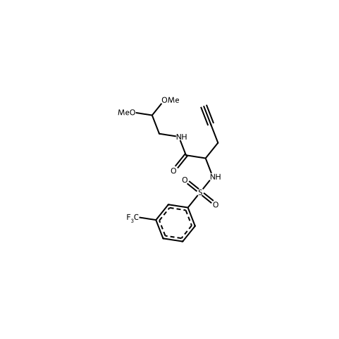 C#CCC(NS(=O)(=O)c1cccc(C(F)(F)F)c1)C(=O)NCC(OC)OC